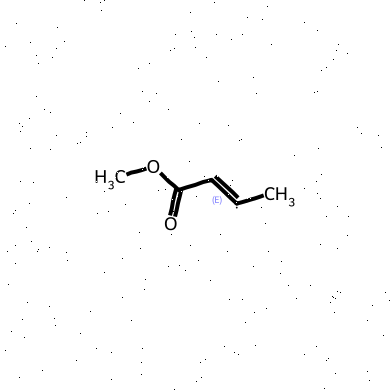 C/[C]=C/C(=O)OC